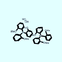 COc1cccc[c]1[Bi]([c]1ccccc1OC)[c]1ccccc1OC.COc1cccc[c]1[Bi]([c]1ccccc1OC)[c]1ccccc1OC.Cl.Cl